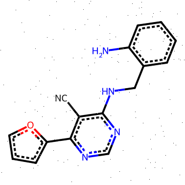 N#Cc1c(NCc2ccccc2N)ncnc1-c1ccco1